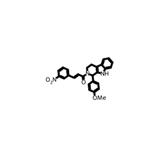 COc1ccc(C2c3[nH]c4ccccc4c3CCN2C(=O)/C=C/c2cccc([N+](=O)[O-])c2)cc1